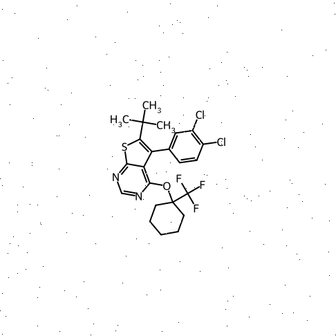 CC(C)(C)c1sc2ncnc(OC3(C(F)(F)F)CCCCC3)c2c1-c1ccc(Cl)c(Cl)c1